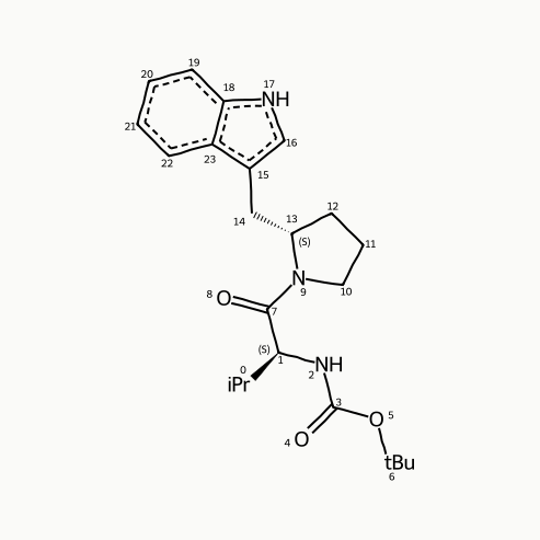 CC(C)[C@H](NC(=O)OC(C)(C)C)C(=O)N1CCC[C@H]1Cc1c[nH]c2ccccc12